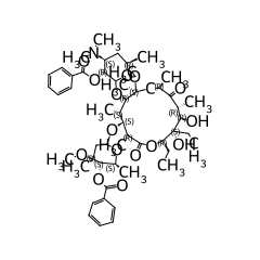 CC[C@H]1OC(=O)[C@H](C)[C@@H](OC2C[C@@](C)(OC)[C@@H](OC(=O)c3ccccc3)[C@H](C)O2)[C@H](C)[C@@H](OC2O[C@H](C)C[C@H](N(C)C)[C@H]2OC(=O)c2ccccc2)[C@@](C)(OC)C[C@@H](C)C(=O)[C@H](C)[C@@H](O)[C@@]1(O)CC